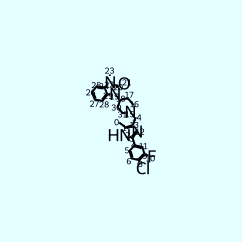 Cc1[nH]c(-c2ccc(Cl)c(F)c2)nc1CN1CCC(n2c(=O)n(C)c3ccccc32)CC1